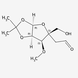 CO[C@H]1[C@H]2OC(C)(C)O[C@H]2O[C@]1(CO)CC=O